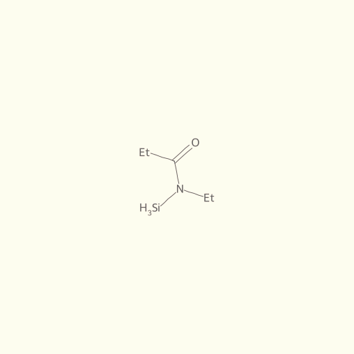 CCC(=O)N([SiH3])CC